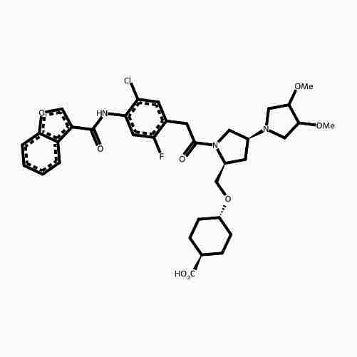 COC1CN([C@H]2C[C@@H](CO[C@H]3CC[C@H](C(=O)O)CC3)N(C(=O)Cc3cc(Cl)c(NC(=O)c4coc5ccccc45)cc3F)C2)CC1OC